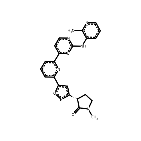 Cc1ncccc1Nc1nccc(-c2cccc(-c3cc([C@@H]4CCN(C)C4=O)no3)n2)n1